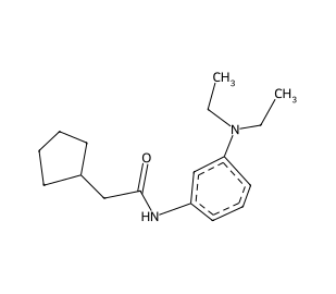 CCN(CC)c1cccc(NC(=O)CC2CCCC2)c1